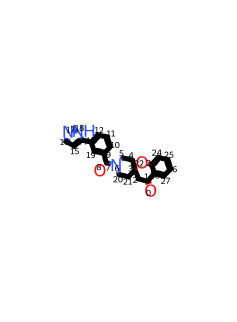 O=C1CC2(CCN(C(=O)c3cccc(-c4ccn[nH]4)c3)CC2)Oc2ccccc21